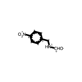 O=[C]N[CH]c1ccc([N+](=O)[O-])cc1